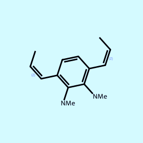 C/C=C\c1ccc(/C=C\C)c(NC)c1NC